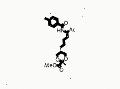 COC(=O)[C@]1(C)OC[C@H](CCCCC(NC(=O)c2ccc(C)cc2)C(C)=O)CO1